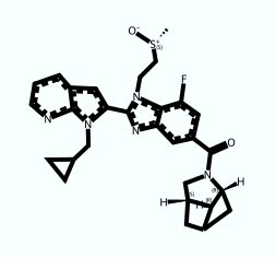 C[S@@+]([O-])CCn1c(-c2cc3cccnc3n2CC2CC2)nc2cc(C(=O)N3C[C@H]4CC5C[C@@H]3[C@H]54)cc(F)c21